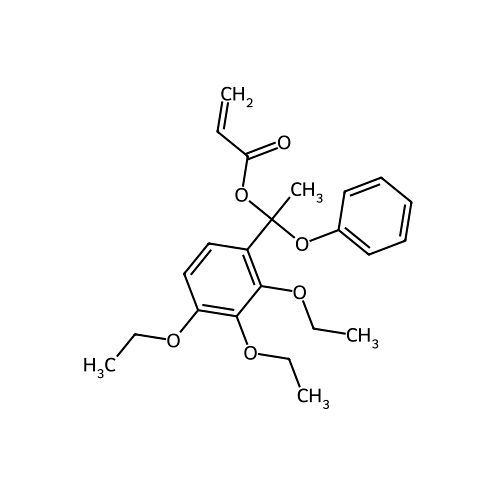 C=CC(=O)OC(C)(Oc1ccccc1)c1ccc(OCC)c(OCC)c1OCC